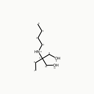 CCCCNC(CC)(CO)CO